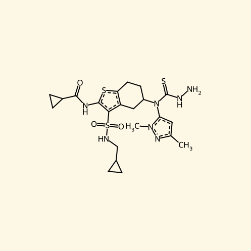 Cc1cc(N(C(=S)NN)C2CCc3sc(NC(=O)C4CC4)c(S(=O)(=O)NCC4CC4)c3C2)n(C)n1